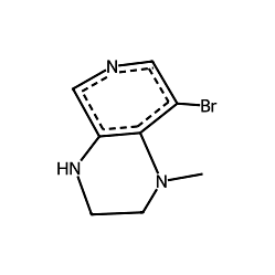 CN1CCNc2cncc(Br)c21